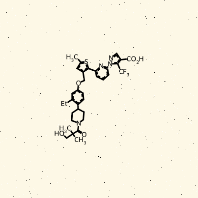 CCc1cc(OCc2cc(C)sc2-c2cccc(-n3ncc(C(=O)O)c3C(F)(F)F)n2)ccc1C1CCN(C(=O)C(C)(C)CO)CC1